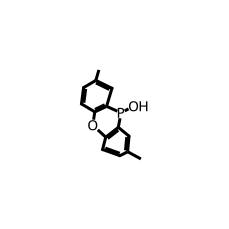 Cc1ccc2c(c1)P(O)c1cc(C)ccc1O2